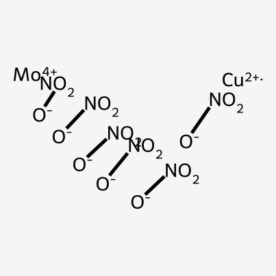 O=[N+]([O-])[O-].O=[N+]([O-])[O-].O=[N+]([O-])[O-].O=[N+]([O-])[O-].O=[N+]([O-])[O-].O=[N+]([O-])[O-].[Cu+2].[Mo+4]